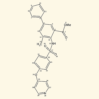 COC(=O)c1cc(-c2ccccc2)cc(C)c1NS(=O)(=O)c1ccc(Oc2ccncc2)cc1